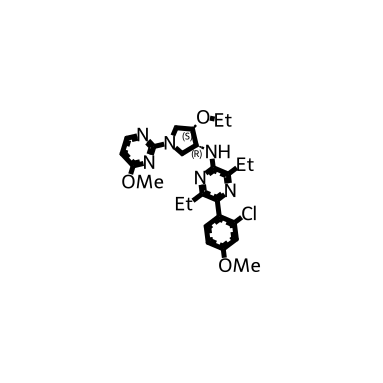 CCO[C@H]1CN(c2nccc(OC)n2)C[C@H]1Nc1nc(CC)c(-c2ccc(OC)cc2Cl)nc1CC